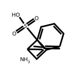 N.O=S(=O)(O)c1cc2cccc3c1cc23